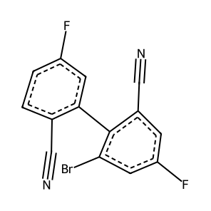 N#Cc1ccc(F)cc1-c1c(Br)cc(F)cc1C#N